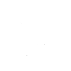 COC(=O)CC(CC(C)C)C(=O)N[C@@H](Cc1c[nH]c2ccccc12)C(=O)O.NC(=O)N1CCCCC1